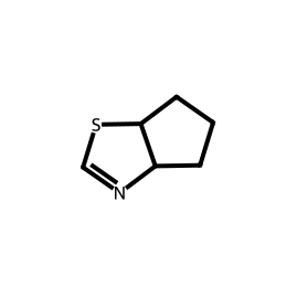 C1=NC2CCCC2S1